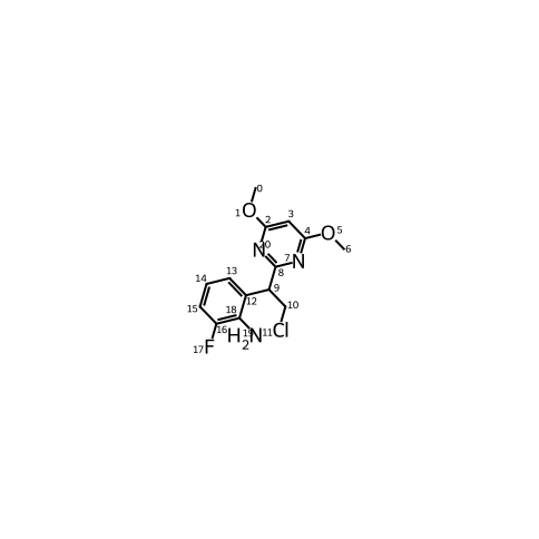 COc1cc(OC)nc(C(CCl)c2cccc(F)c2N)n1